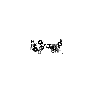 Nc1c(Oc2ccc(F)cc2)ncn(CC2(O)CCN(C(=O)[C@@H]3CCN(C(=O)c4ccc5nc[nH]c(=O)c5c4)C[C@H]3c3ccccc3)CC2)c1=O